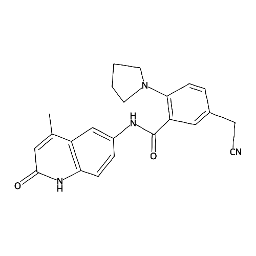 Cc1cc(=O)[nH]c2ccc(NC(=O)c3cc(CC#N)ccc3N3CCCC3)cc12